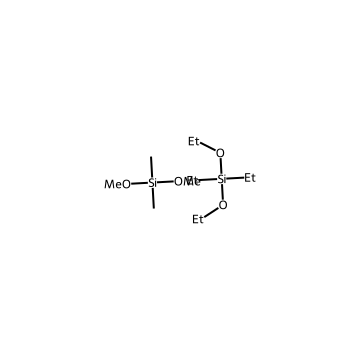 CCO[Si](CC)(CC)OCC.CO[Si](C)(C)OC